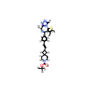 Cc1sc2c(c1C)C(c1ccc(C#CC3CC4(CCN(C(=O)OC(C)(C)C)CC4)C3)cc1)=N[C@@H](C)c1nnc(C)n1-2